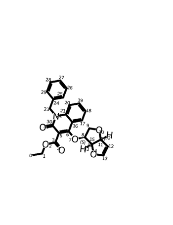 CCOC(=O)c1c(O[C@H]2CO[C@@H]3C=CO[C@H]23)c2ccccc2n(Cc2ccccc2)c1=O